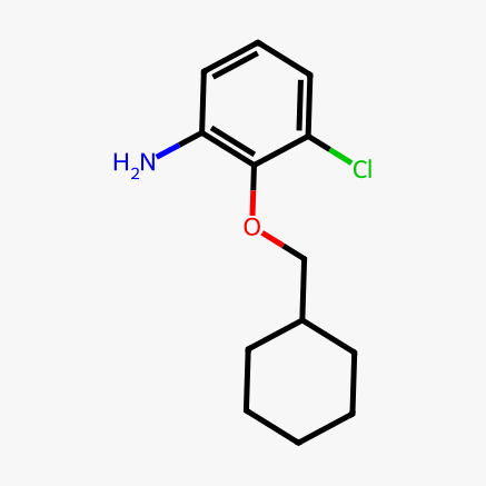 Nc1cccc(Cl)c1OCC1CCCCC1